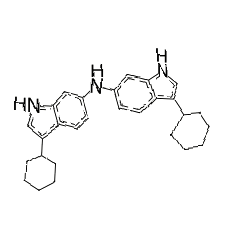 c1cc2c(C3CCCCC3)c[nH]c2cc1Nc1ccc2c(C3CCCCC3)c[nH]c2c1